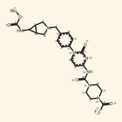 CC(C)(C)OC(=O)NC1C2CN(Cc3ccc(-n4ccc(NC(=O)N5CCN(C(=O)C(F)(F)F)CC5)nc4=O)cc3)CC21